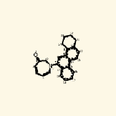 O=C1C=CC=CN(c2cc3c4c(ccc3c3ccccc23)CCCC4)C1